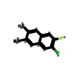 Cc1cc2cc(F)c(Cl)cc2cc1[N+](=O)[O-]